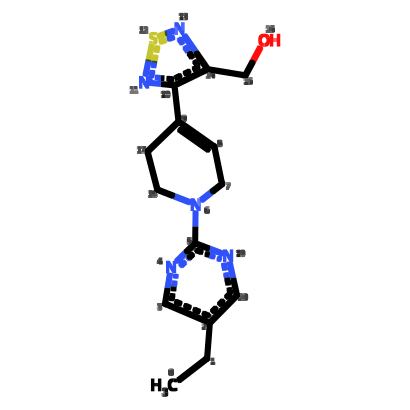 CCc1cnc(N2CC=C(c3nsnc3CO)CC2)nc1